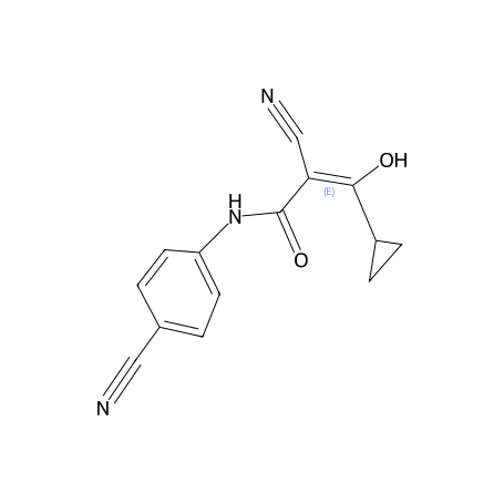 N#C/C(C(=O)Nc1ccc(C#N)cc1)=C(\O)C1CC1